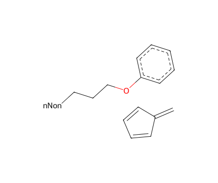 C=C1C=CC=C1.CCCCCCCCCCCCOc1ccccc1